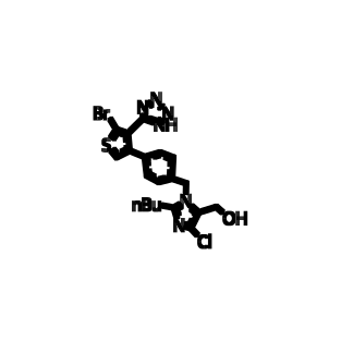 CCCCc1nc(Cl)c(CO)n1Cc1ccc(-c2csc(Br)c2-c2nnn[nH]2)cc1